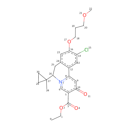 CCOC(=O)c1cn2c(cc1=O)-c1cc(Cl)c(OCCCOC)cc1CC2C1(C)CC1